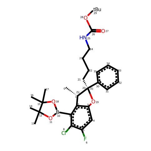 C[C@H]1c2c(cc(F)c(Cl)c2B2OC(C)(C)C(C)(C)O2)O[C@]1(CCCCNC(=O)OC(C)(C)C)c1ccccc1